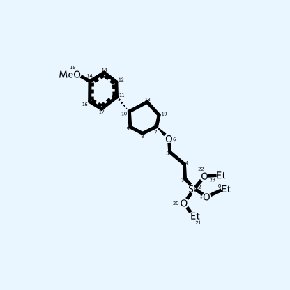 CCO[Si](CCCO[C@H]1CC[C@H](c2ccc(OC)cc2)CC1)(OCC)OCC